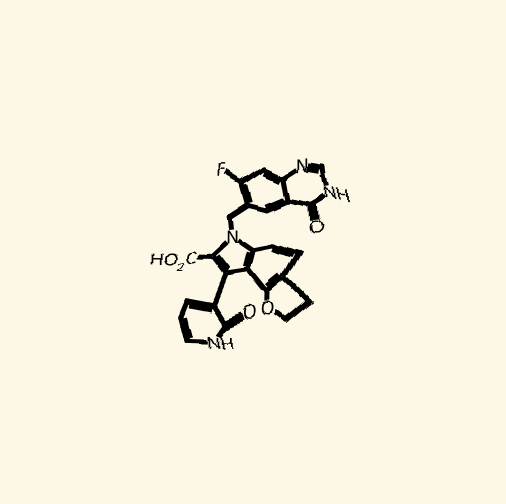 O=C(O)c1c(-c2ccc[nH]c2=O)c2c3c(ccc2n1Cc1cc2c(=O)[nH]cnc2cc1F)CCO3